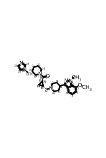 COc1cccc2c(C3CCN(C[C@@H]4C[C@H]4C(=O)N4CCC[C@@H](Cn5ccnc5)C4)CC3)nn(C)c12